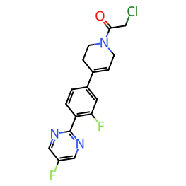 O=C(CCl)N1CC=C(c2ccc(-c3ncc(F)cn3)c(F)c2)CC1